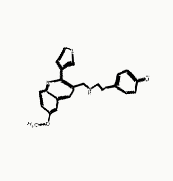 COc1ccc2nc(-c3ccsc3)c(CNCCc3ccc(Cl)cc3)cc2c1